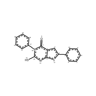 O=c1c2cc(-c3ccccc3)sc2nc(S)n1-c1ccccc1